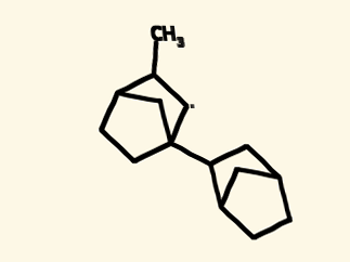 CC1[CH]C2(C3CC4CCC3C4)CCC1C2